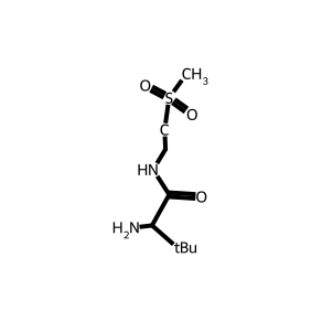 CC(C)(C)C(N)C(=O)NCCS(C)(=O)=O